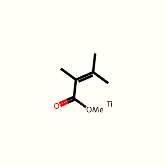 COC(=O)C(C)=C(C)C.[Ti]